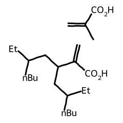 C=C(C(=O)O)C(CC(CC)CCCC)CC(CC)CCCC.C=C(C)C(=O)O